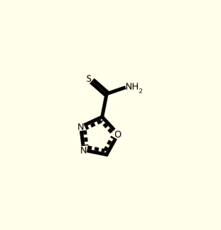 NC(=S)c1nnco1